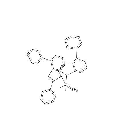 CC1=Cc2c(-c3ccccc3)cccc2[CH]1[Zr]([CH3])([CH3])(=[SiH2])[CH]1C(c2ccccc2)=Cc2c(-c3ccccc3)cccc21